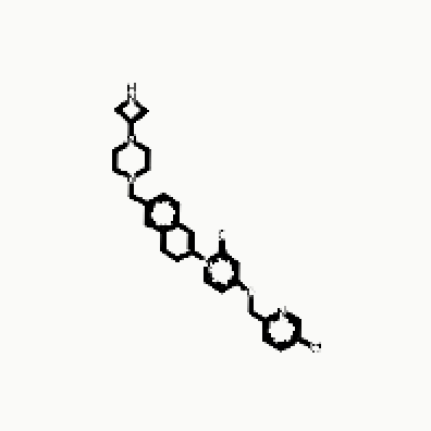 O=c1cc(OCc2ccc(Cl)cn2)ccn1C1=Cc2ccc(CN3CCN(C4CNC4)CC3)cc2CC1